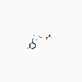 C=C(C)C(=O)OCC[N+](C)(C)Cc1cccc(Cl)c1.[Cl-]